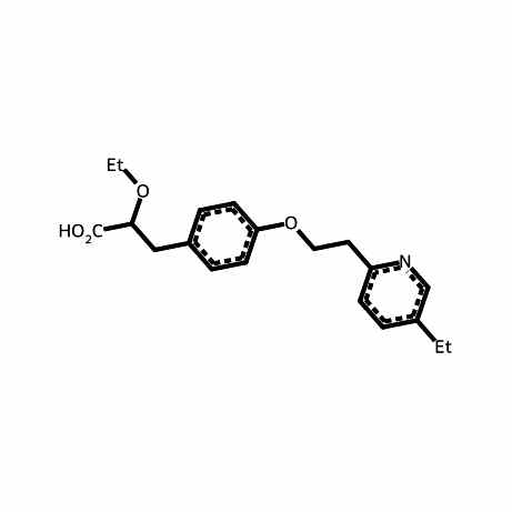 CCOC(Cc1ccc(OCCc2ccc(CC)cn2)cc1)C(=O)O